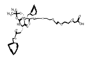 CC(C)(C)OC(=O)N[C@@H](CC(=O)OCc1ccccc1)C(=O)N[C@@H](Cc1ccccc1)C(=O)NCCOCCOCCOCCOCC(=O)O